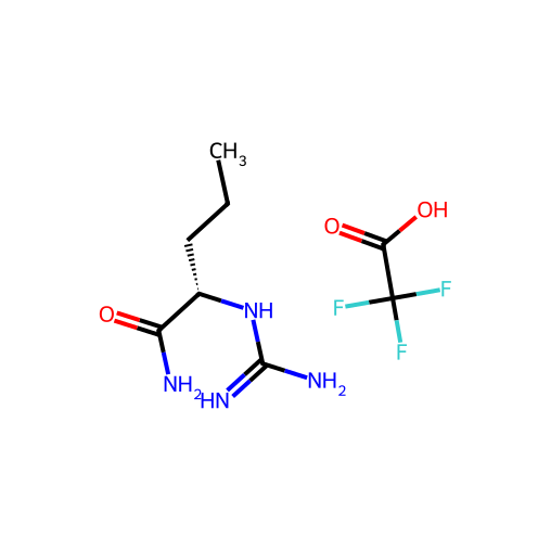 CCC[C@H](NC(=N)N)C(N)=O.O=C(O)C(F)(F)F